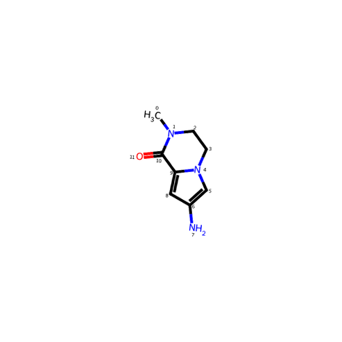 CN1CCn2cc(N)cc2C1=O